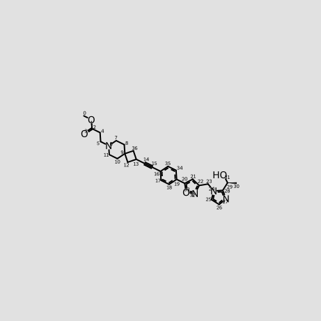 COC(=O)CCN1CCC2(CC1)CC(C#Cc1ccc(-c3cc(Cn4ccnc4[C@H](C)O)no3)cc1)C2